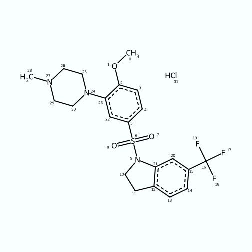 COc1ccc(S(=O)(=O)N2CCc3ccc(C(F)(F)F)cc32)cc1N1CCN(C)CC1.Cl